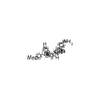 COc1ccc(CCN(C2CCNCC2)S(=O)(=O)c2cccc(-c3cc4cn(-c5ccc(CN)cc5)c(=O)nc4[nH]3)c2)cc1